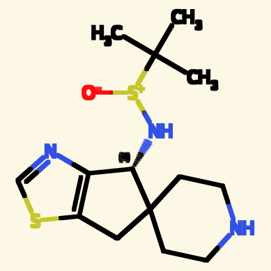 CC(C)(C)[S+]([O-])N[C@H]1c2ncsc2CC12CCNCC2